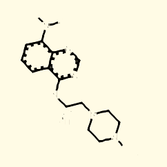 C[C@@H](CN1CCN(C(=O)O)CC1)Nc1ncnc2c(N(C)C)cccc12